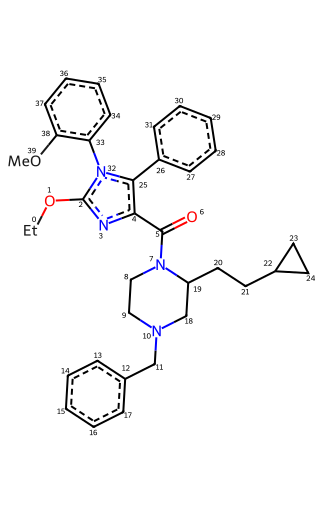 CCOc1nc(C(=O)N2CCN(Cc3ccccc3)CC2CCC2CC2)c(-c2ccccc2)n1-c1ccccc1OC